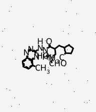 Cc1cccc2nnc(NNC(=O)C(CC3CCCC3C)CN(O)C=O)nc12